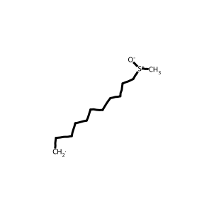 [CH2]CCCCCCCCCC[S+](C)[O-]